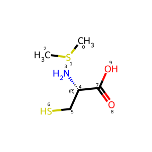 CSC.N[C@@H](CS)C(=O)O